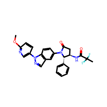 COc1ccc(-n2ncc3cc(N4C(=O)C[C@@H](NC(=O)C(C)(F)F)[C@@H]4c4ccccc4)ccc32)cn1